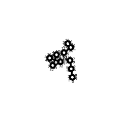 c1ccc(-c2ccc(-c3cccc(N(c4cccc(-c5cccc6ccccc56)c4)c4ccc5c(c4)C(c4ccccc4)(c4ccccc4)c4ccccc4-5)c3)cc2)cc1